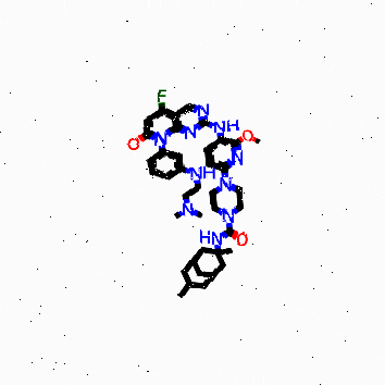 COc1nc(N2CCN(C(=O)NC3(C)CC4CC(C)CC(C4)C3)CC2)ccc1Nc1ncc2c(F)cc(=O)n(-c3cccc(NCCN(C)C)c3)c2n1